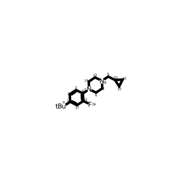 CC(C)(C)c1ccc(N2CCN(CC3CC3)CC2)c(F)c1